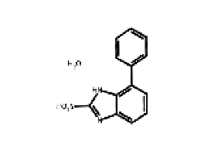 O.O=S(=O)(O)c1nc2cccc(-c3ccccc3)c2[nH]1